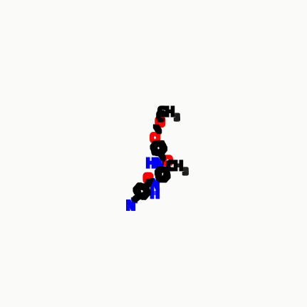 CCOCCOc1ccc(C(=O)Nc2cc(NC(=O)c3ccc(C#N)cc3)ccc2C)cc1